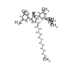 CCCCCCCCCCCCC=CC1=C(c2cc(C)cc(C)c2)[N+](=[N-])C(c2cc(C)cc(C)c2)=C1.[CH3][Pd][CH3]